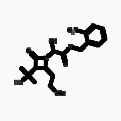 CC(=O)OCCC1C(C(C)(C)O)C(=O)N1C(O)C(=O)OCc1ccccc1[N+](=O)[O-]